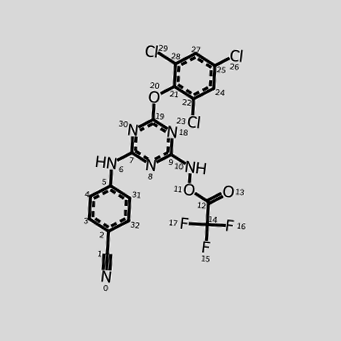 N#Cc1ccc(Nc2nc(NOC(=O)C(F)(F)F)nc(Oc3c(Cl)cc(Cl)cc3Cl)n2)cc1